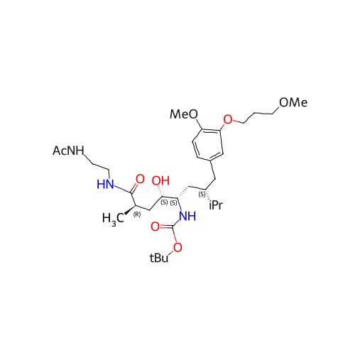 COCCCOc1cc(C[C@@H](C[C@H](NC(=O)OC(C)(C)C)[C@@H](O)C[C@@H](C)C(=O)NCCNC(C)=O)C(C)C)ccc1OC